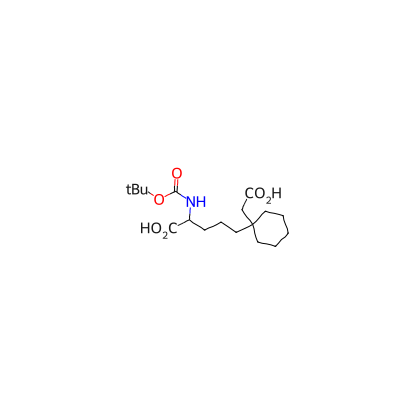 CC(C)(C)OC(=O)NC(CCCC1(CC(=O)O)CCCCC1)C(=O)O